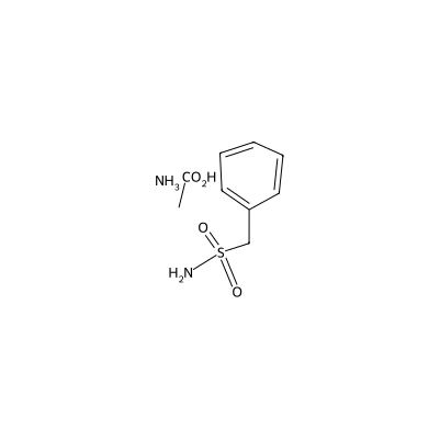 CC(=O)O.N.NS(=O)(=O)Cc1ccccc1